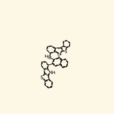 B1c2c(-c3cccc4c3[nH]c3c5ccccc5sc43)cc3ccccc3c2-n2c3sc4ccccc4c3c3cccc1c32